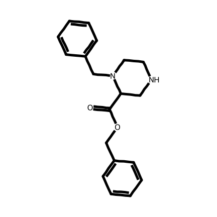 O=C(OCc1ccccc1)C1CNCCN1Cc1ccccc1